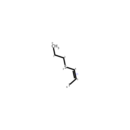 CCCS/C=C\I